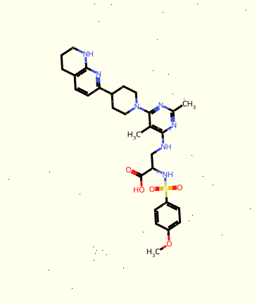 COc1ccc(S(=O)(=O)NC(CNc2nc(C)nc(N3CCC(c4ccc5c(n4)NCCC5)CC3)c2C)C(=O)O)cc1